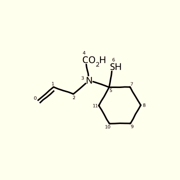 C=CCN(C(=O)O)C1(S)CCCCC1